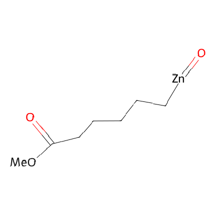 COC(=O)CCCC[CH2][Zn]=[O]